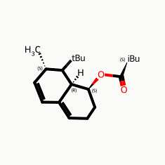 CC[C@H](C)C(=O)O[C@H]1CCC=C2C=C[C@H](C)C(C(C)(C)C)[C@H]21